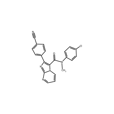 CN(C(=O)c1c(-c2ccc(C#N)cc2)nc2ncccn12)c1ccc(Cl)cc1